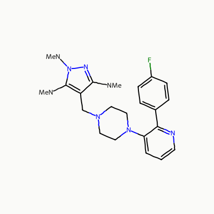 CNc1nn(NC)c(NC)c1CN1CCN(c2cccnc2-c2ccc(F)cc2)CC1